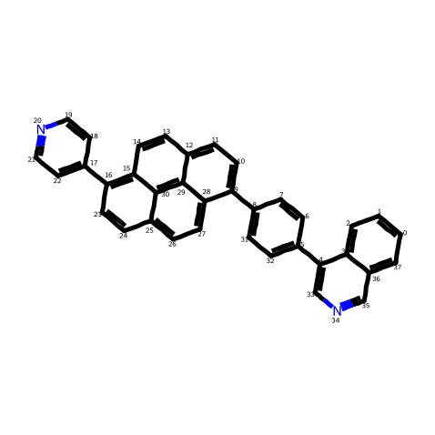 c1ccc2c(-c3ccc(-c4ccc5ccc6c(-c7ccncc7)ccc7ccc4c5c76)cc3)cncc2c1